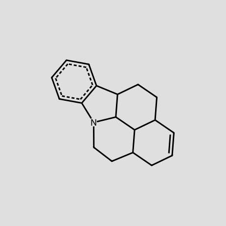 C1=CC2CCC3c4ccccc4N4CCC(C1)C2C34